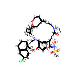 CN1CC[C@@H]2CCO[C@@H](C2)[C@@H]2CC[C@H]2CN2C[C@@]3(CCCc4cc(Cl)ccc43)COc3ccc(cc32)[C@](O)(C(=O)NS(C)(=O)=O)CC1=O